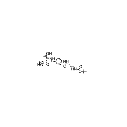 C[C@@H](O)[C@H](NCc1ccc(NC(=O)CCCNC(=O)OC(C)(C)C)cc1)C(=O)NO